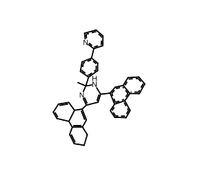 CC1(c2ccc(-c3ccccn3)cc2)N=C(C2=CC3=C(C=CCC3)C3C=CC=CC23)C=C(c2cc3ccccc3c3ccccc23)N1